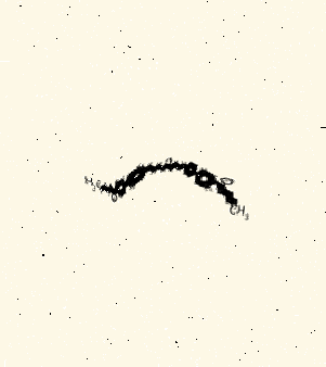 CCCCCC(=O)C1CCC(c2ccc(CCCCC(=O)CCCCc3ccc([C@H]4CC[C@H](C(=O)CCCCC)CC4)cc3)cc2)CC1